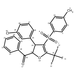 Cc1ccc(S(=O)(=O)C2=C(C(F)(F)F)OC(C(=O)c3ccccc3)C2c2cccc(Cl)c2)cc1